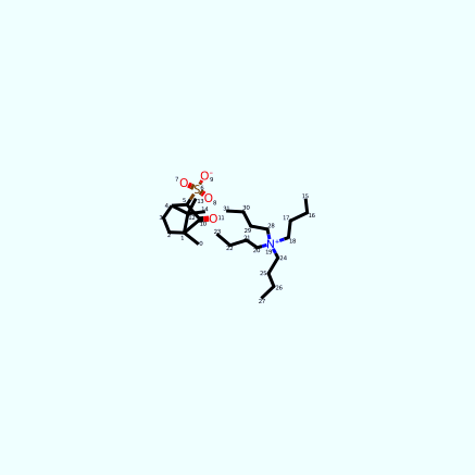 CC12CCC(C(S(=O)(=O)[O-])C1=O)C2(C)C.CCCC[N+](CCCC)(CCCC)CCCC